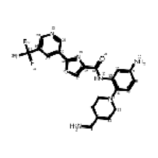 NCC1CCN(c2ccc(N)cc2NC(=O)c2csc(-c3cncc(C(F)(F)F)c3)n2)CC1